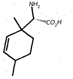 CC1C=CC(C)([C@H](N)C(=O)O)CC1